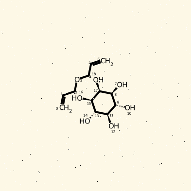 C=CCOCC=C.O[C@H]1[C@H](O)[C@@H](O)[C@H](O)[C@@H](O)[C@H]1O